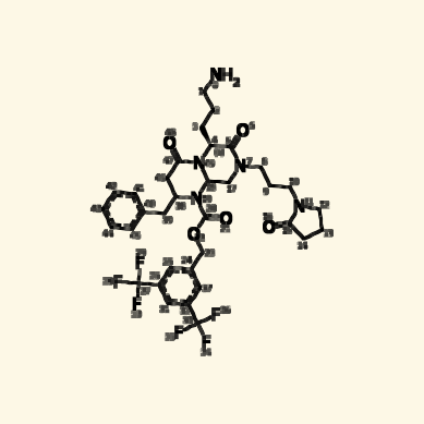 NCCC[C@H]1C(=O)N(CCCN2CCCC2=O)CC2N(C(=O)OCc3cc(C(F)(F)F)cc(C(F)(F)F)c3)C(Cc3ccccc3)CC(=O)N21